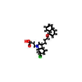 O=C(O)CCn1cc(CCCOc2cccc3ccccc23)c2ccc(Cl)cc21